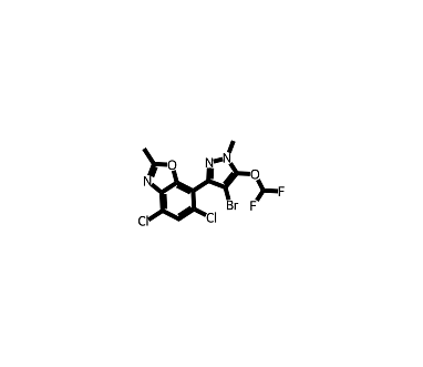 Cc1nc2c(Cl)cc(Cl)c(-c3nn(C)c(OC(F)F)c3Br)c2o1